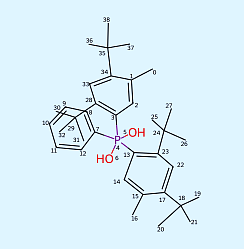 Cc1cc(P(O)(O)(c2ccccc2)c2cc(C)c(C(C)(C)C)cc2C(C)(C)C)c(C(C)(C)C)cc1C(C)(C)C